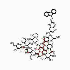 CC(=O)NC1C(O)[C@H](OC2OC(CO)[C@H](O)C(O)C2O)C(CO)O[C@H]1OC1C(O)[C@H](O)C(CO)O[C@@H]1OC1C(O)[C@H](O[C@@H]2C(CO)O[C@@H](O[C@@H]3C(CO)O[C@@H](NC(=O)CC(NC(=O)OCC4c5ccccc5-c5ccccc54)C(=O)O)C(NC(C)=O)C3O)C(NC(C)=O)C2O)OC(CO[C@H]2OC(CO)[C@@H](O)C(O)C2O[C@@H]2OC(CO)[C@@H](O[C@@H]3OC(CO)[C@H](O)C(O)C3O)C(O)C2NC(C)=O)[C@H]1O